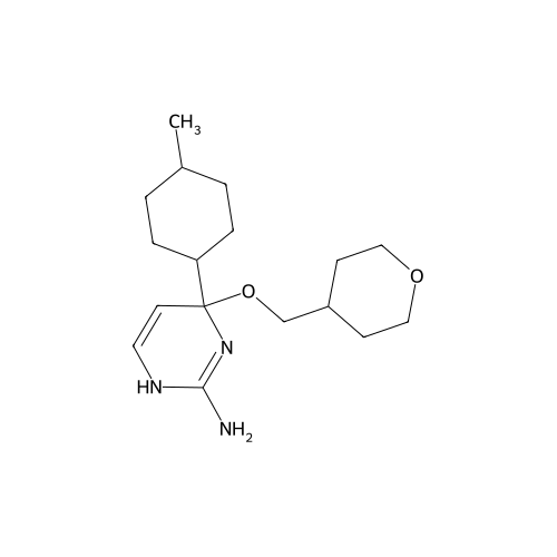 CC1CCC(C2(OCC3CCOCC3)C=CNC(N)=N2)CC1